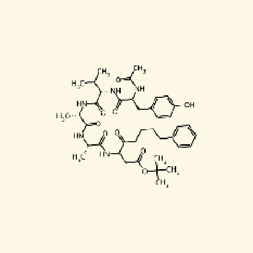 CC(=O)N[C@@H](Cc1ccc(O)cc1)C(=O)N[C@H](C(=O)N[C@@H](C)C(=O)N[C@@H](C)C(=O)NC(CC(=O)OC(C)(C)C)C(=O)CCCCc1ccccc1)C(C)C